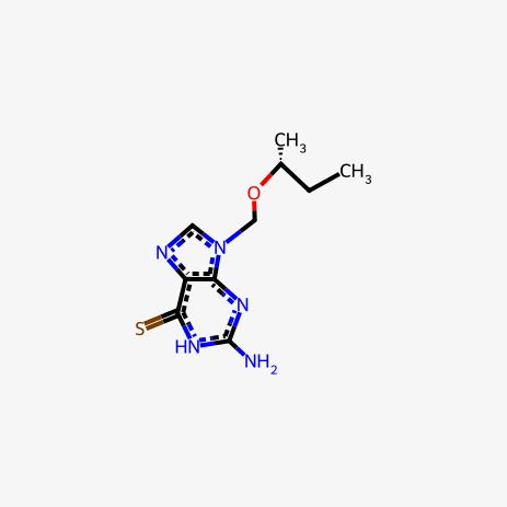 CC[C@@H](C)OCn1cnc2c(=S)[nH]c(N)nc21